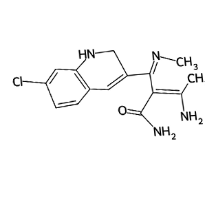 C/N=C(C1=Cc2ccc(Cl)cc2NC1)\C(C(N)=O)=C(/C)N